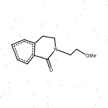 COCCN1CCc2ccccc2C1=O